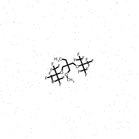 CCC(COC)(COC(C(F)(F)F)(C(F)(F)F)C(F)(F)F)COC(C(F)(F)F)(C(F)(F)F)C(F)(F)F